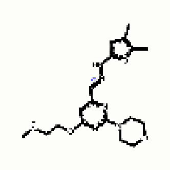 CNCCOc1cc(/C=N/Nc2cc(C)c(C)o2)nc(N2CCOCC2)n1